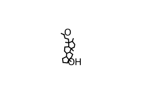 CC(=O)CCC1(C)C(C)CCC2(C)C3CCC4(O)CCCC4C3CCC12